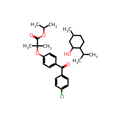 CC(C)OC(=O)C(C)(C)Oc1ccc(C(=O)c2ccc(Cl)cc2)cc1.CC1CCC(C(C)C)C(O)C1